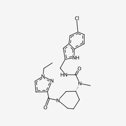 CCn1ccc(C(=O)N2CCC[C@@H](N(C)C(=O)NCc3cc4cc(Cl)ccc4[nH]3)C2)n1